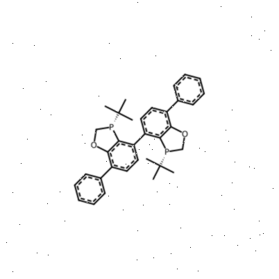 CC(C)(C)[P@@]1COc2c(-c3ccccc3)ccc(-c3ccc(-c4ccccc4)c4c3[P@@](C(C)(C)C)CO4)c21